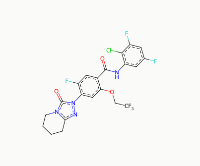 O=C(Nc1cc(F)cc(F)c1Cl)c1cc(F)c(-n2nc3n(c2=O)CCCC3)cc1OCC(F)(F)F